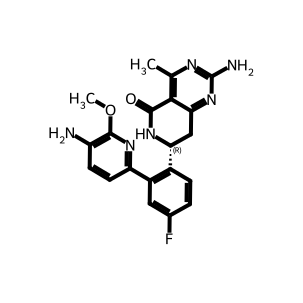 COc1nc(-c2cc(F)ccc2[C@H]2Cc3nc(N)nc(C)c3C(=O)N2)ccc1N